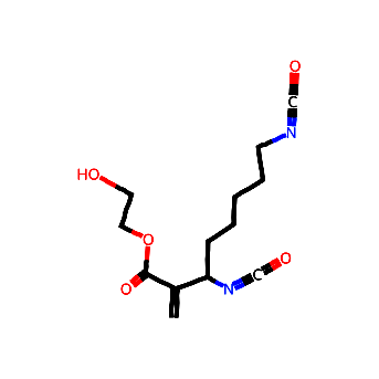 C=C(C(=O)OCCO)C(CCCCCN=C=O)N=C=O